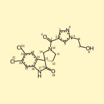 O=C(c1cnn(CCO)c1)N1CC[C@]2(C1)C(=O)Nc1cc(Cl)c(Cl)cc12